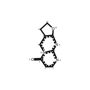 O=c1ccnc2nc3c(cn12)CCO3